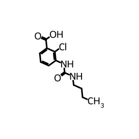 CCCCNC(=O)Nc1cccc(C(=O)O)c1Cl